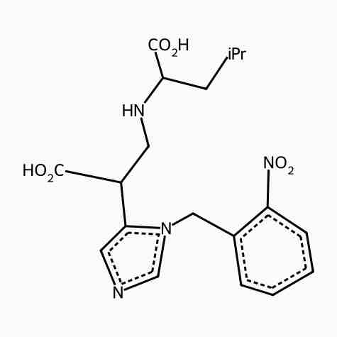 CC(C)CC(NCC(C(=O)O)c1cncn1Cc1ccccc1[N+](=O)[O-])C(=O)O